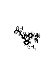 Cc1ccc(-c2cc(CCC(=O)O)nn2-c2ccc(N[SH](=O)=O)cc2)cc1